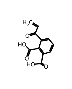 C=CC(=O)c1cccc(C(=O)O)c1C(=O)O